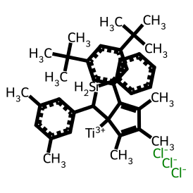 CC1=C(C)[C]([Ti+3])(C([SiH2]c2ccccc2)c2cc(C)cc(C)c2)C(c2cc(C(C)(C)C)cc(C(C)(C)C)c2)=C1C.[Cl-].[Cl-].[Cl-]